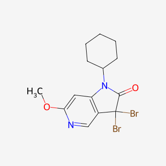 COc1cc2c(cn1)C(Br)(Br)C(=O)N2C1CCCCC1